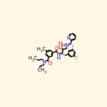 CCCN(CCC)C(=O)c1cc(C)cc(C(=O)N[C@@H](Cc2cc(F)cc(F)c2)[C@H](O)CNCc2ccccn2)c1